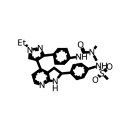 CCn1cc(-c2ccnc3c2CC(c2ccc(NS(C)(=O)=O)cc2)N3)c(-c2ccc(NC(=O)N(C)C)cc2)n1